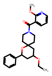 CCOC1CC(c2ccccc2)OC2(CCN(C(=O)c3cccnc3OC)CC2)C1